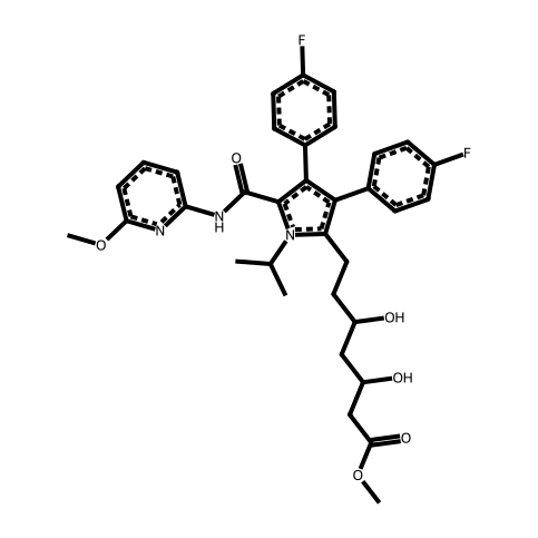 COC(=O)CC(O)CC(O)CCc1c(-c2ccc(F)cc2)c(-c2ccc(F)cc2)c(C(=O)Nc2cccc(OC)n2)n1C(C)C